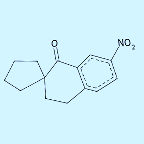 O=C1c2cc([N+](=O)[O-])ccc2CCC12CCCC2